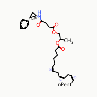 CCCCC/C=C\C/C=C\C/C=C\CCCCC(=O)OC(C)COC(=O)CCC(=O)N[C@@H]1C[C@H]1c1ccccc1